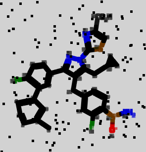 Cc1cccc(-c2cc(-c3nn(-c4nc(C(=O)O)cs4)c(CC4CC4)c3Cc3ccc([S+](N)[O-])c(F)c3)ccc2F)c1